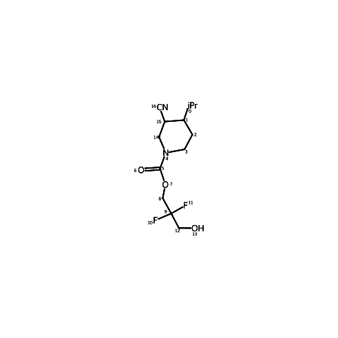 CC(C)C1CCN(C(=O)OCC(F)(F)CO)CC1C#N